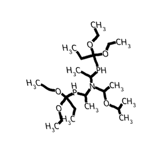 CCOC(CC)(OCC)PC(C)N(C(C)OC(C)C)C(C)PC(CC)(OCC)OCC